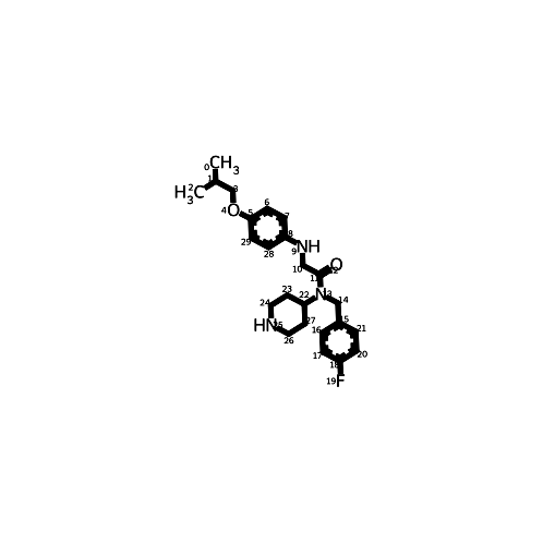 CC(C)COc1ccc(NCC(=O)N(Cc2ccc(F)cc2)C2CCNCC2)cc1